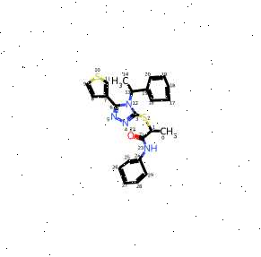 CC(Sc1nnc(-c2ccsc2)n1C(C)c1ccccc1)C(=O)Nc1ccccc1